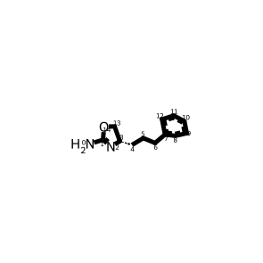 NC1=N[C@@H](CCCc2ccccc2)CO1